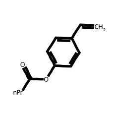 C=Cc1ccc(OC(=O)CCC)cc1